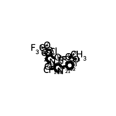 Cc1cc(OS(=O)(=O)C(F)(F)F)c(Cl)c(=O)n1-c1c(Cl)cnc(-c2cccc(S(C)(=O)=O)c2F)c1F